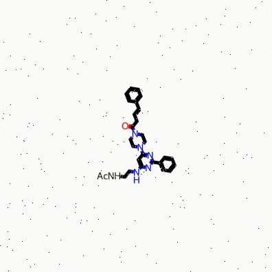 CC(=O)NCCNc1cc(N2CCN(C(=O)CC=Cc3ccccc3)CC2)nc(-c2ccccc2)n1